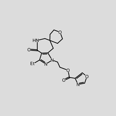 CCc1nn(CCOC(=O)c2cocn2)c2c1C(=O)NCC1(CCOCC1)C2